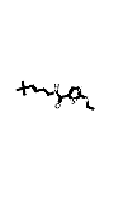 CCSc1ncc(C(=O)NCC/C=C/C(C)(C)C)s1